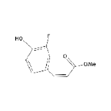 COC(=O)/C=C\c1ccc(O)c(F)c1